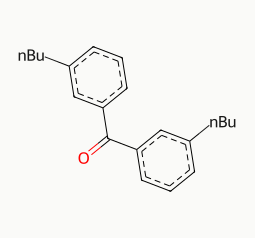 CCCCc1cccc(C(=O)c2cccc(CCCC)c2)c1